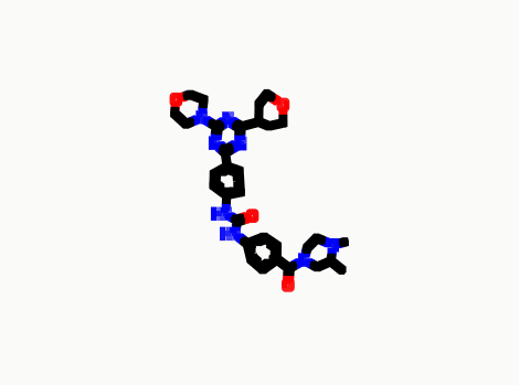 CC1CN(C(=O)c2ccc(NC(=O)Nc3ccc(-c4nc(C5CCOCC5)nc(N5CCOCC5)n4)cc3)cc2)CCN1C